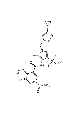 C=CC(F)(F)c1nn(Cc2cc(C3CC3)on2)c(C)c1NC(=O)c1cc(C(N)=O)nc2ccccc12